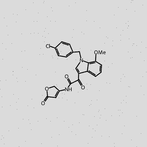 COc1cccc2c(C(=O)C(=O)NC3=CC(=O)OC3)cn(Cc3ccc(Cl)cc3)c12